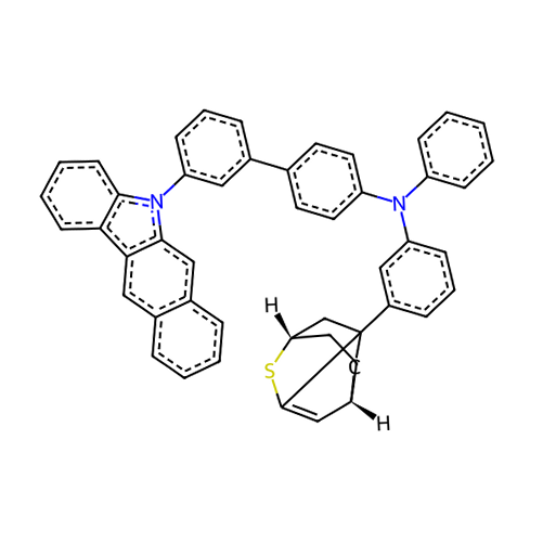 C1=C2S[C@H]3CC[C@H]1CC2(c1cccc(N(c2ccccc2)c2ccc(-c4cccc(-n5c6ccccc6c6cc7ccccc7cc65)c4)cc2)c1)C3